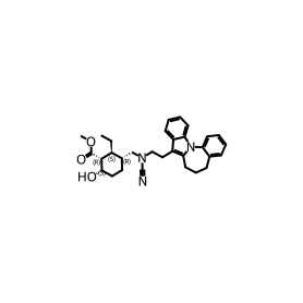 CC[C@H]1[C@H](CN(C#N)CCc2c3n(c4ccccc24)-c2ccccc2CCC3)CC[C@H](O)[C@@H]1C(=O)OC